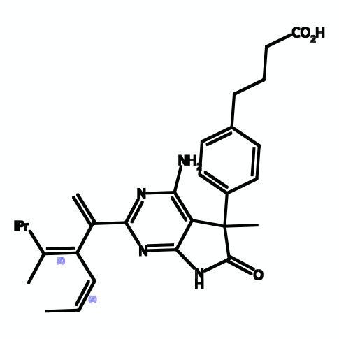 C=C(C(/C=C\C)=C(/C)C(C)C)c1nc(N)c2c(n1)NC(=O)C2(C)c1ccc(CCCC(=O)O)cc1